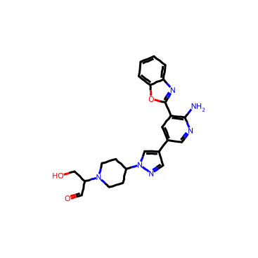 Nc1ncc(-c2cnn(C3CCN(C(C=O)CO)CC3)c2)cc1-c1nc2ccccc2o1